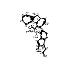 [SH][Zr]([Cl])([Cl])([c]1cccc2c1C=C1SC(Br)=CC12)[c]1cccc2c1-c1ccccc1C2